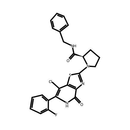 O=C(NCc1ccccc1)[C@H]1CCCN1c1nc2c(=O)[nH]c(-c3ccccc3F)c(Cl)c2s1